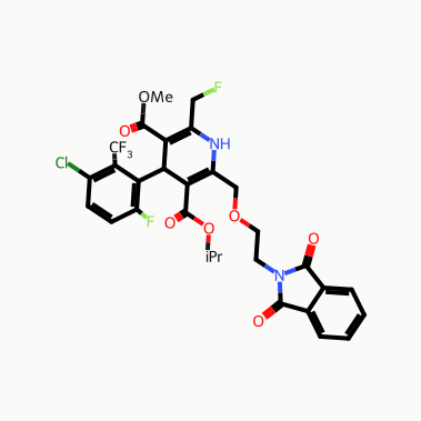 COC(=O)C1=C(CF)NC(COCCN2C(=O)c3ccccc3C2=O)=C(C(=O)OC(C)C)C1c1c(F)ccc(Cl)c1C(F)(F)F